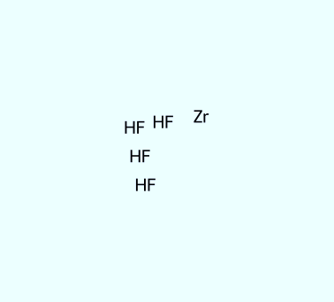 F.F.F.F.[Zr]